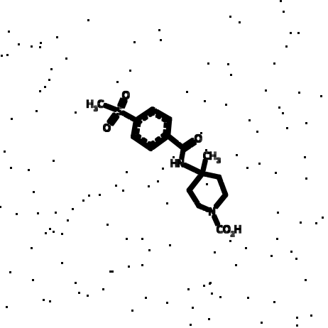 CC1(NC(=O)c2ccc(S(C)(=O)=O)cc2)CCN(C(=O)O)CC1